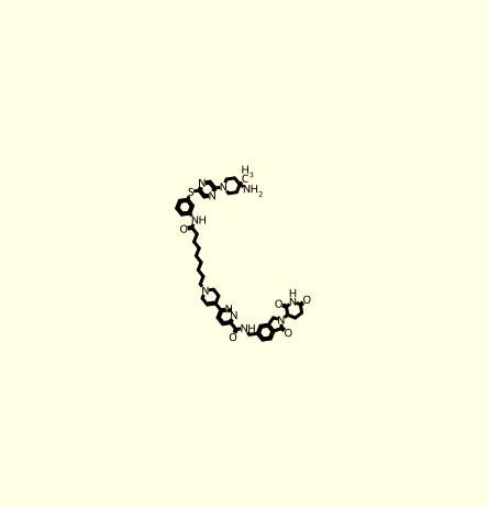 CC1(N)CCN(c2cnc(Sc3cccc(NC(=O)CCCCCCCCN4CC=C(c5ccc(C(=O)NCc6ccc7c(c6)CN(C6CCC(=O)NC6=O)C7=O)nn5)CC4)c3)cn2)CC1